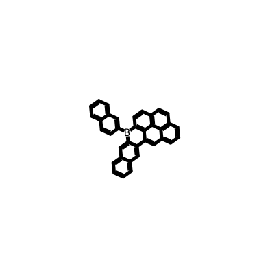 c1ccc2cc(B3c4cc5ccccc5cc4-c4cc5cccc6ccc7ccc3c4c7c65)ccc2c1